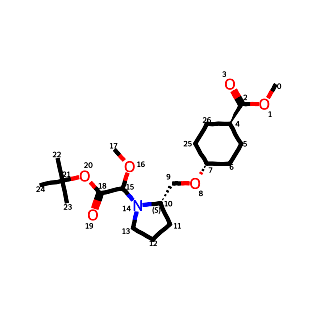 COC(=O)[C@H]1CC[C@H](OC[C@@H]2CCCN2C(OC)C(=O)OC(C)(C)C)CC1